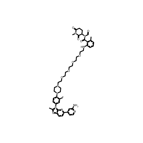 Cc1cccc(NCCOCCOCCOCCOCCN2CCN(c3ccc(-n4c(C)nc5ccc(-c6ccnc(N)c6)nc54)cc3F)CC2)c1C(=O)N(C=O)C1CCC(=O)N(C)C1=O